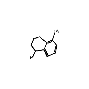 Cc1cccc2c1OCCC2C(C)C